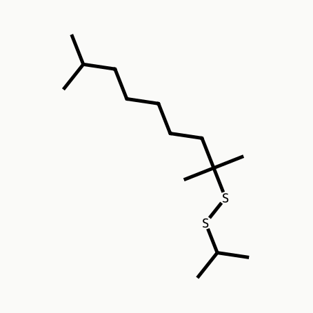 CC(C)CCCCCC(C)(C)SSC(C)C